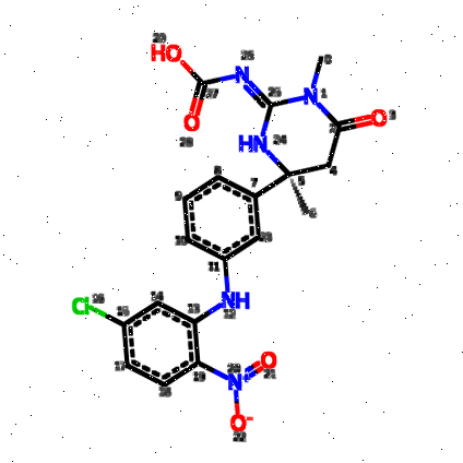 CN1C(=O)C[C@@](C)(c2cccc(Nc3cc(Cl)ccc3[N+](=O)[O-])c2)N/C1=N\C(=O)O